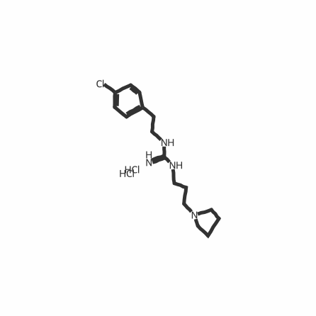 Cl.Cl.N=C(NCCCN1CCCC1)NCCc1ccc(Cl)cc1